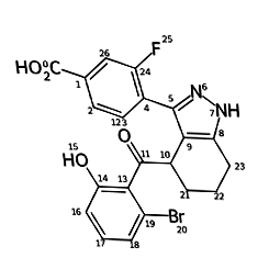 O=C(O)c1ccc(-c2n[nH]c3c2C(C(=O)c2c(O)cccc2Br)CCC3)c(F)c1